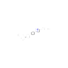 CCCCCCCCCc1ccc(-c2ccc([C@H]3CC[C@@](C#N)(CC[C@@H](C)CC)CC3)cc2)nc1